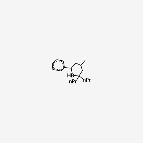 CCCC1(CCC)BC(c2ccccc2)CC(C)C1